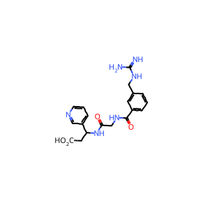 N=C(N)NCc1cccc(C(=O)NCC(=O)NC(CC(=O)O)c2cccnc2)c1